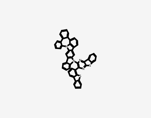 c1ccc2c(c1)-c1ccccc1-n1c3cc4c5ccccc5n(-c5nc6c(nc5-c5cccc7c5sc5ccccc57)sc5ccccc56)c4cc3c3cccc-2c31